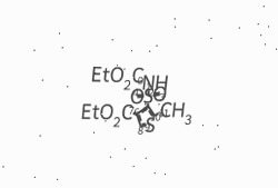 CCOC(=O)NS(=O)(=O)c1c(C(=O)OCC)csc1C